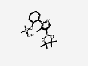 Cc1c(B2OC(C)(C)C(C)(C)O2)cnn1C1CCCCC1O[Si](C)(C)C(C)(C)C